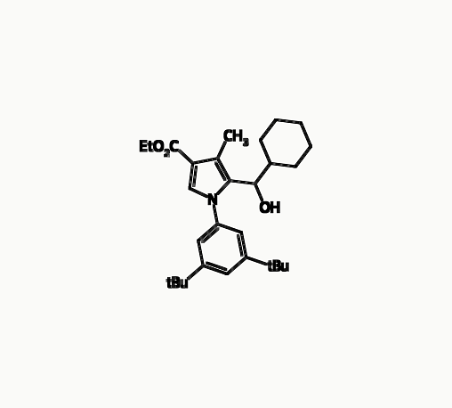 CCOC(=O)c1cn(-c2cc(C(C)(C)C)cc(C(C)(C)C)c2)c(C(O)C2CCCCC2)c1C